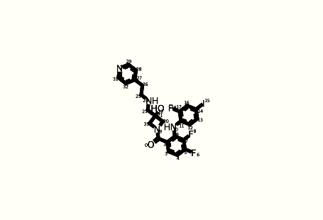 O=C(c1ccc(F)c(F)c1Nc1ccc(I)cc1F)N1CC(O)(CNCCc2ccncc2)C1